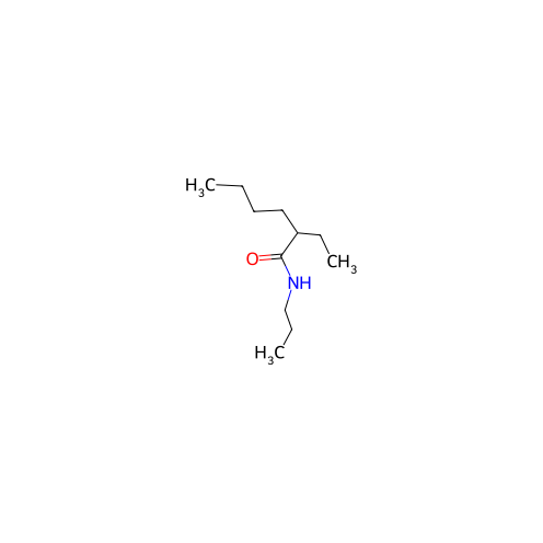 CCCCC(CC)C(=O)NCCC